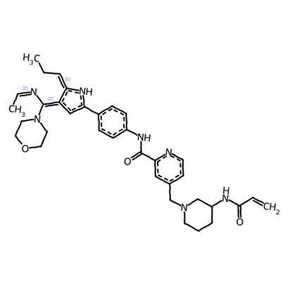 C=CC(=O)NC1CCCN(Cc2ccnc(C(=O)Nc3ccc(-c4cc(=C(/N=C\C)N5CCOCC5)/c(=C\CC)[nH]4)cc3)c2)C1